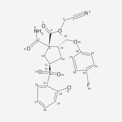 N#CCOC(=O)[C@]1(C(N)=O)C[C@H](S(=O)(=O)c2ccccc2Cl)C[C@H]1COc1ccc(F)cc1